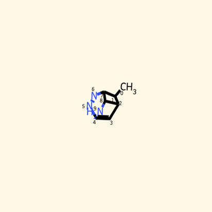 CC1C2C=CN=NC1C2N